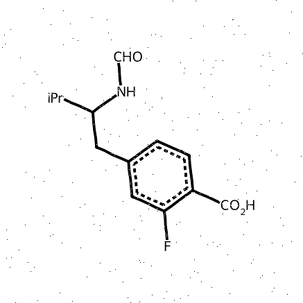 CC(C)C(Cc1ccc(C(=O)O)c(F)c1)NC=O